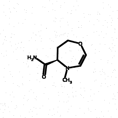 CN1C=COCC[C@@H]1C(N)=O